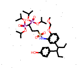 CCC(c1ccc(O)cc1)C(CC)c1ccc(OCOC)c(NS(=O)(=O)CCC(P(=O)(OC(C)C)OC(C)C)P(=O)(OC(C)C)OC(C)C)c1